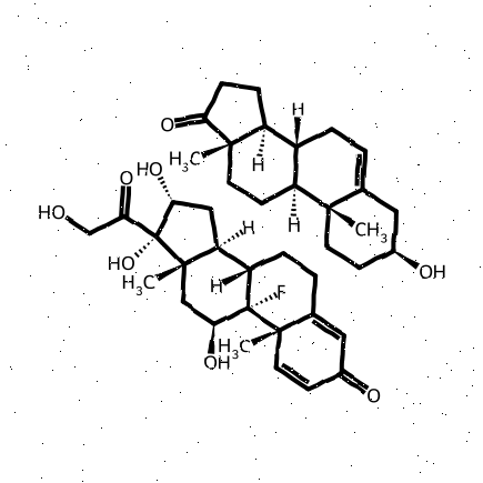 C[C@]12C=CC(=O)C=C1CC[C@H]1[C@@H]3C[C@@H](O)[C@](O)(C(=O)CO)[C@@]3(C)C[C@H](O)[C@@]12F.C[C@]12CC[C@H](O)CC1=CC[C@@H]1[C@@H]2CC[C@]2(C)C(=O)CC[C@@H]12